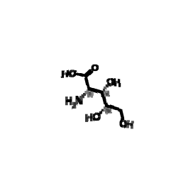 N[C@H](C(=O)O)[C@H](O)[C@@H](O)CO